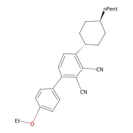 CCCCC[C@H]1CC[C@H](c2ccc(-c3ccc(OCC)cc3)c(C#N)c2C#N)CC1